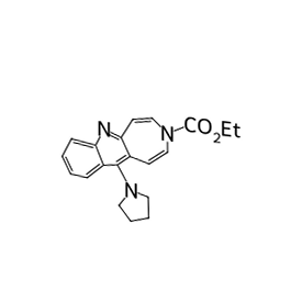 CCOC(=O)N1C=Cc2nc3ccccc3c(N3CCCC3)c2C=C1